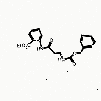 CCOC(=O)c1ccccc1NC(=O)CCNC(=O)OCc1ccccc1